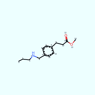 CCCNCc1ccc(CCC(=O)OC)cc1